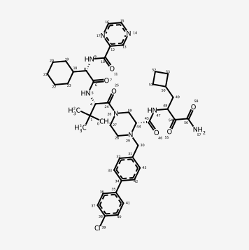 CC(C)(C)[C@H](NC(=O)[C@@H](NC(=O)c1cnccn1)C1CCCCC1)C(=O)N1CCN(Cc2ccc(-c3ccc(Cl)cc3)cc2)[C@@H](C(=O)NC(CC2CCC2)C(=O)C(N)=O)C1